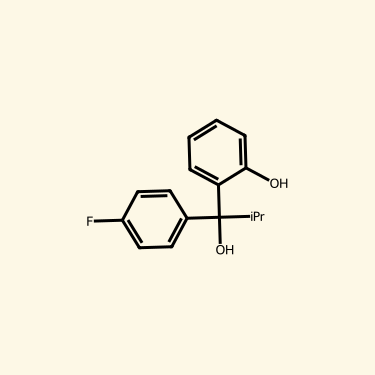 CC(C)C(O)(c1ccc(F)cc1)c1ccccc1O